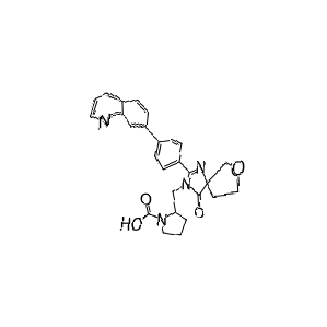 O=C(O)N1CCCC1CN1C(=O)C2(CCOC2)N=C1c1ccc(-c2ccc3cccnc3c2)cc1